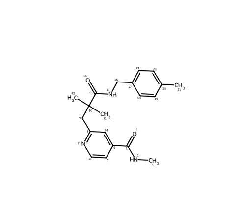 CNC(=O)c1ccnc(CC(C)(C)C(=O)NCc2ccc(C)cc2)c1